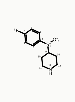 [O-][S+](c1ccc(F)cc1)C1CCNCC1